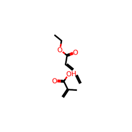 C=C.C=C(C)C(=O)O.C=CC(=O)OCC